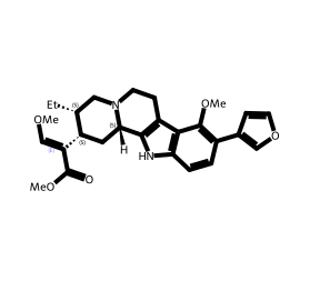 CC[C@@H]1CN2CCc3c([nH]c4ccc(-c5ccoc5)c(OC)c34)[C@@H]2C[C@@H]1/C(=C\OC)C(=O)OC